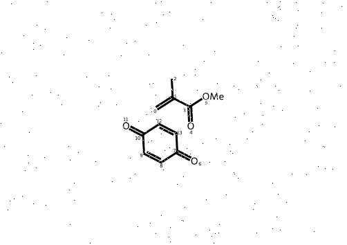 C=C(C)C(=O)OC.O=C1C=CC(=O)C=C1